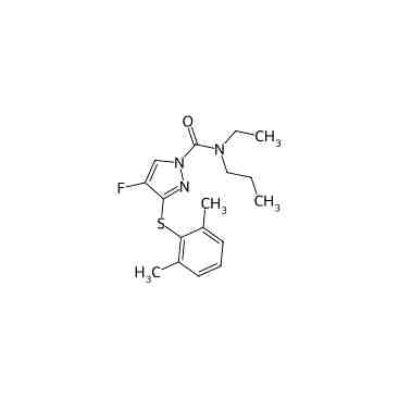 CCCN(CC)C(=O)n1cc(F)c(Sc2c(C)cccc2C)n1